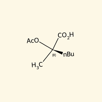 CCCC[C@@](C)(OC(C)=O)C(=O)O